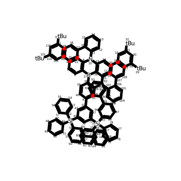 CC(C)(C)c1cc(-c2ccc3c(c2)N(c2ccccc2-c2ccccc2)c2cc(-c4cc(C(C)(C)C)cc(C(C)(C)C)c4)cc4c2B3c2ccc(-c3cc([Si](c5ccccc5)(c5ccccc5)c5cccc(-c6ccccc6)c5)cc([Si](c5ccccc5)(c5ccccc5)c5cccc(-c6ccccc6)c5)c3)cc2N4c2ccccc2-c2ccccc2)cc(C(C)(C)C)c1